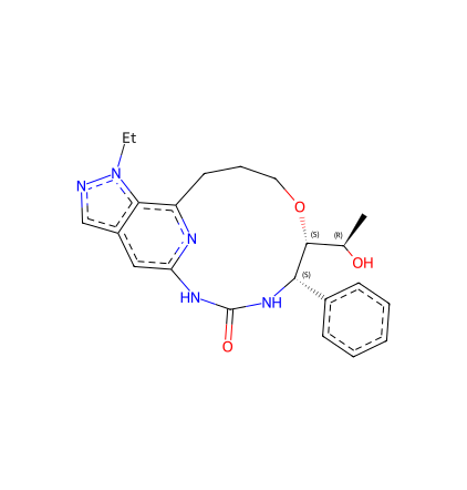 CCn1ncc2cc3nc(c21)CCCO[C@H]([C@@H](C)O)[C@H](c1ccccc1)NC(=O)N3